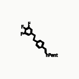 CCCCCC=Cc1ccc(CCc2cc(F)c(F)c(F)c2)cc1